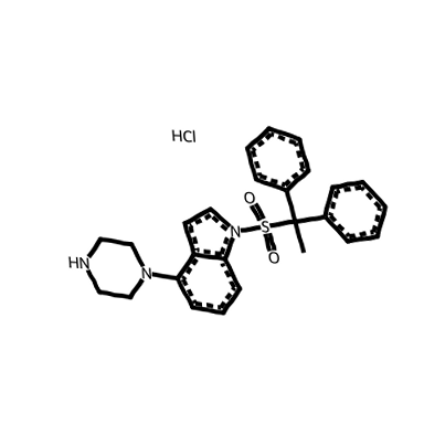 CC(c1ccccc1)(c1ccccc1)S(=O)(=O)n1ccc2c(N3CCNCC3)cccc21.Cl